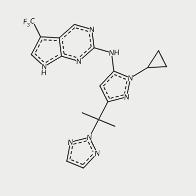 CC(C)(c1cc(Nc2ncc3c(C(F)(F)F)c[nH]c3n2)n(C2CC2)n1)n1nccn1